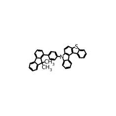 CC1(C)c2ccccc2-c2cccc(-c3ccc(-n4c5ccccc5c5c6c(ccc54)sc4ccccc46)cc3)c21